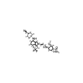 CNC(=O)c1ccc(NCC#Cc2cc3c(N[C@H]4CC[C@H](C#N)CC4)cccc3n2CC(F)(F)F)c(OC)c1